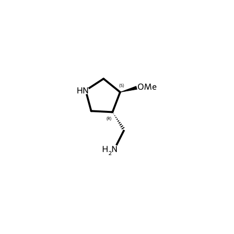 CO[C@@H]1CNC[C@H]1CN